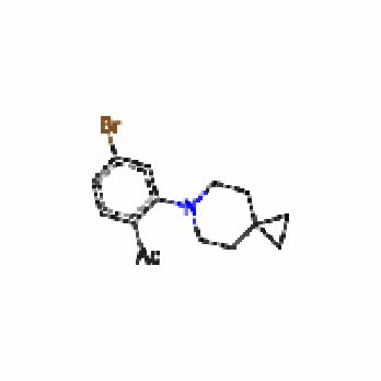 CC(=O)c1ccc(Br)cc1N1CCC2(CC1)CC2